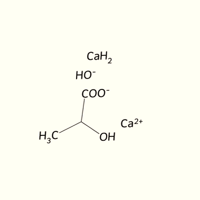 CC(O)C(=O)[O-].[Ca+2].[CaH2].[OH-]